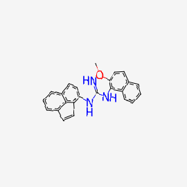 COc1ccc2ccccc2c1NC(=N)Nc1ccc2cccc3c2c1C=C3